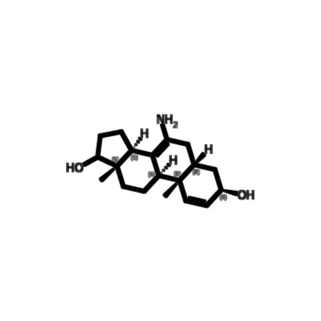 C[C@]12C=C[C@H](O)C[C@H]1CC(N)=C1[C@@H]2CC[C@]2(C)C(O)CC[C@@H]12